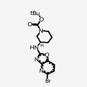 CC(C)(C)OC(=O)N1CCC[C@@H](Nc2nc3nc(Br)ccc3o2)C1